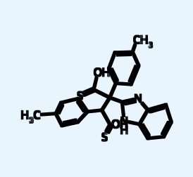 Cc1ccc(C(C(O)=S)C(C(O)=S)(c2ccc(C)cc2)c2nc3ccccc3[nH]2)cc1